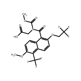 COC(=O)N(CC(=O)O)C(=O)c1c(OCC(F)(F)F)ccc2c(C(F)(F)F)c(OC)ccc12